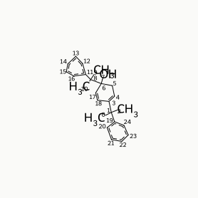 CC(C)(C1=CCC(O)(C(C)(C)c2ccccc2)C=C1)c1ccccc1